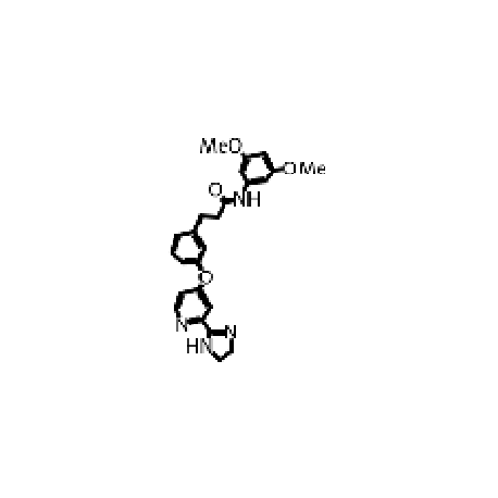 COc1cc(NC(=O)CCc2cccc(Oc3ccnc(C4=NCCN4)c3)c2)cc(OC)c1